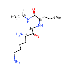 CSCC[C@H](N[Se]C(=O)[C@@H](N)CCCCN)C(=O)N[C@@H](C)C(=O)O